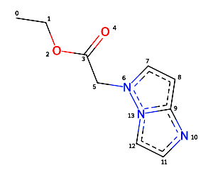 CCOC(=O)Cn1ccc2nccn21